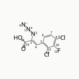 [N-]=[N+]=NC(=Cc1ccc(Cl)c(F)c1Cl)C(=O)O